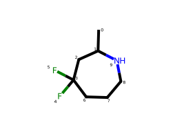 CC1CC(F)(F)CCCN1